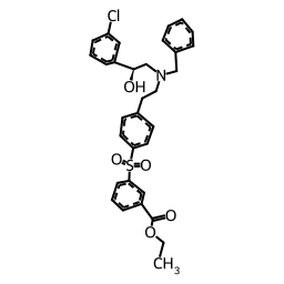 CCOC(=O)c1cccc(S(=O)(=O)c2ccc(CCN(Cc3ccccc3)C[C@@H](O)c3cccc(Cl)c3)cc2)c1